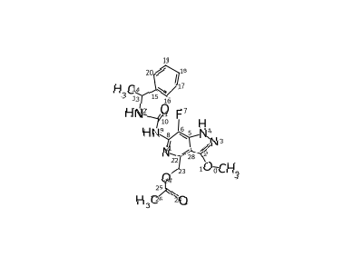 COc1n[nH]c2c(F)c(NC(=O)NC(C)c3ccccc3)nc(COC(C)=O)c12